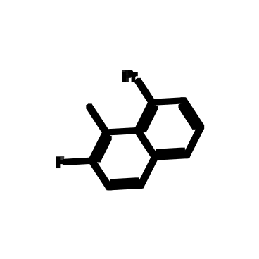 Cc1c(F)ccc2cccc(C(C)C)c12